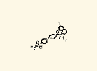 CC(C(=O)N1CCN(c2ccc(S(N)(=O)=O)cc2)CC1)N1CCCc2cc(F)ccc21